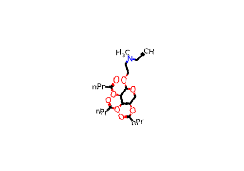 C#CCN(C)CCOC1OC[C@@H](OC(=O)CCC)[C@@H](OC(=O)CCC)[C@H]1OC(=O)CCC